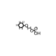 O=C(O)OCCOc1ccccc1